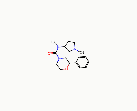 CN(C(=O)N1CCOC(c2ccccc2)C1)C1CCN(C#N)C1